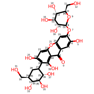 O=c1c2cc(O)c(O[C@@H]3O[C@H](CO)[C@@H](O)[C@H](O)[C@H]3O)cc2oc2cc(O)c(C3C[C@H](CO)[C@@H](O)[C@H](O)[C@H]3O)c(O)c12